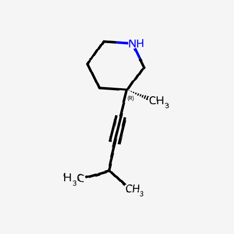 CC(C)C#C[C@@]1(C)CCCNC1